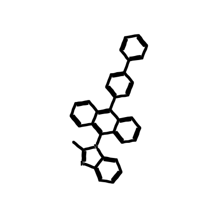 Cc1nc2ccccc2n1-c1c2ccccc2c(-c2ccc(-c3ccccc3)cc2)c2ccccc12